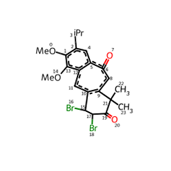 COc1c(C(C)C)cc2c(=O)cc3c(cc2c1OC)C(Br)C(Br)C(=O)C3(C)C